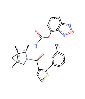 Cc1cccc(-c2sccc2C(=O)N2C[C@@H]3C[C@@H]3[C@H]2CNC(=O)Oc2cccc3nonc23)c1